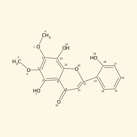 COc1c(OC)c(O)c2c(=O)cc(-c3ccccc3O)oc2c1O